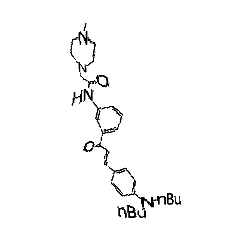 CCCCN(CCCC)c1ccc(/C=C/C(=O)c2cccc(NC(=O)CN3CCN(C)CC3)c2)cc1